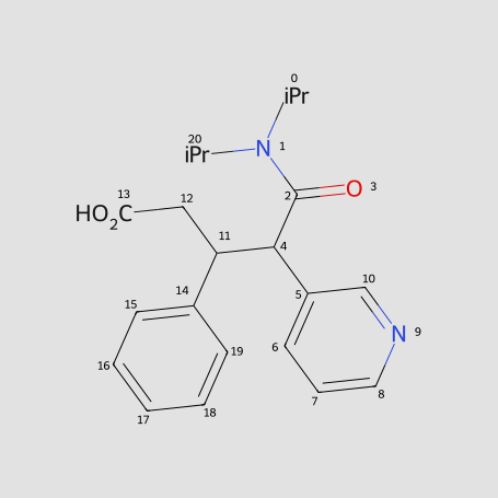 CC(C)N(C(=O)C(c1cccnc1)C(CC(=O)O)c1ccccc1)C(C)C